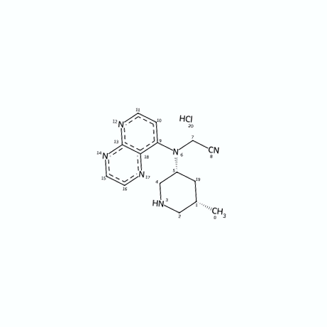 C[C@@H]1CNC[C@H](N(CC#N)c2ccnc3nccnc23)C1.Cl